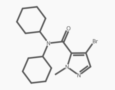 Cn1ncc(Br)c1C(=O)N(C1CCCCC1)C1CCCCC1